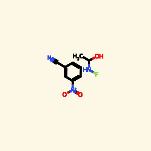 CC(O)NF.N#Cc1cccc([N+](=O)[O-])c1